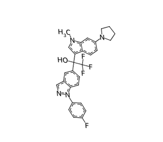 Cn1cc(C(O)(c2ccc3c(cnn3-c3ccc(F)cc3)c2)C(F)(F)F)c2ccc(N3CCCC3)cc21